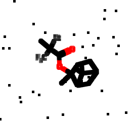 CCC(C)(C(=O)OC1(C)CCC2CC1C2(C)C)C(F)(F)F